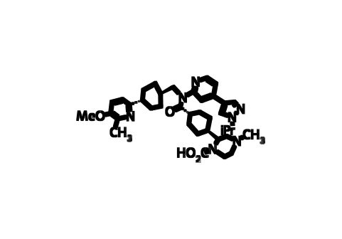 COc1ccc([C@H]2CC[C@H](CN(c3cc(-c4cnn(C(C)C)c4)ccn3)C(=O)[C@H]3CC[C@H](C4CN(C)CCN4C(=O)O)CC3)CC2)nc1C